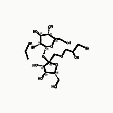 CCO.OCC(O)COC[C@@]1(O[C@H]2O[C@H](CO)[C@@H](O)[C@H](O)[C@H]2O)O[C@H](CO)[C@@H](O)[C@@H]1O